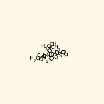 CC(C)(C)c1ccc(N2c3ccc(C(C)(C)C)cc3B3c4ccc5c(sc6c7c(ccc65)CCC7)c4Oc4cccc2c43)cc1